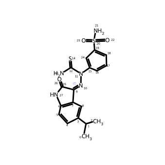 CC(C)c1ccc2c(c1)/C(=N/N(C(N)=S)c1cccc(S(N)(=O)=O)c1)C(=O)N2